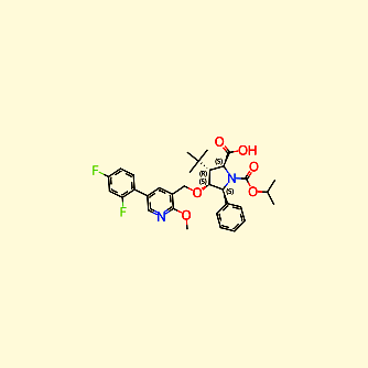 COc1ncc(-c2ccc(F)cc2F)cc1CO[C@H]1[C@H](C(C)(C)C)[C@@H](C(=O)O)N(C(=O)OC(C)C)[C@H]1c1ccccc1